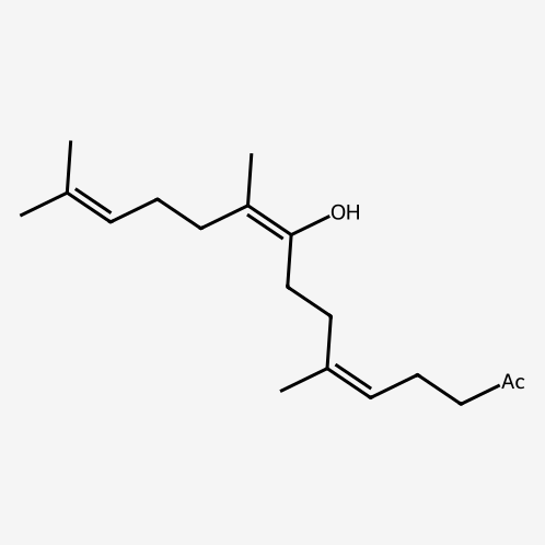 CC(=O)CCC=C(C)CCC(O)=C(C)CCC=C(C)C